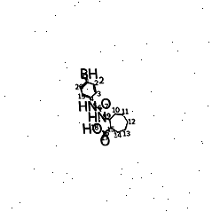 Bc1ccc(NC(=O)NC2CCCCCC2C(=O)O)cc1